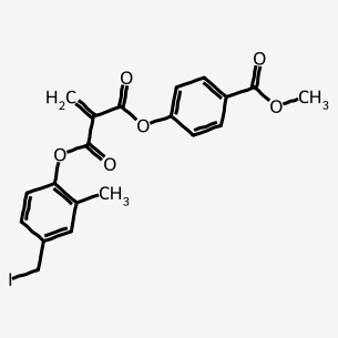 C=C(C(=O)Oc1ccc(C(=O)OC)cc1)C(=O)Oc1ccc(CI)cc1C